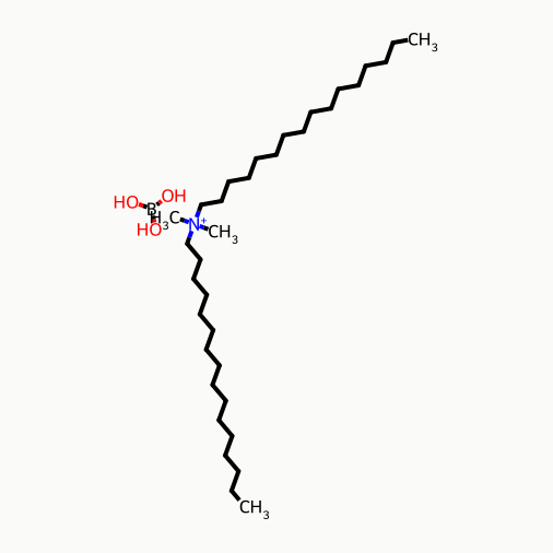 CCCCCCCCCCCCCCCC[N+](C)(C)CCCCCCCCCCCCCCCC.OB(O)O